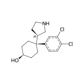 O[C@H]1CC[C@](c2ccc(Cl)c(Cl)c2)([C@H]2CCNC2)CC1